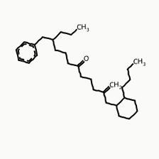 C=C(CCCC(=O)CCCC(CCC)Cc1ccccc1)CC1CCCCC1CCCC